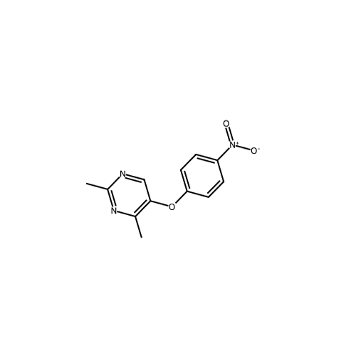 Cc1ncc(Oc2ccc([N+](=O)[O-])cc2)c(C)n1